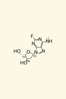 CNc1nc(F)nc2c1ncn2[C@@H]1C[C@@H](O)[C@H](CO)O1